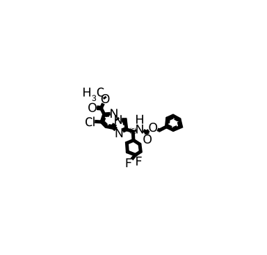 COC(=O)c1nn2cc([C@@H](NC(=O)OCc3ccccc3)C3CCC(F)(F)CC3)nc2cc1Cl